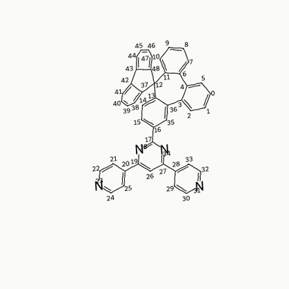 c1ccc2c(c1)-c1ccccc1C1(c3ccc(-c4nc(-c5ccncc5)cc(-c5ccncc5)n4)cc3-2)c2ccccc2-c2ccccc21